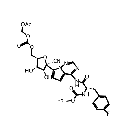 CC(=O)OCOC(=O)OC[C@H]1O[C@@](C#N)(c2ccc3c(NC(=O)[C@H](Cc4ccc(F)cc4)NC(=O)OC(C)(C)C)ncnn23)[C@H](O)[C@@H]1O